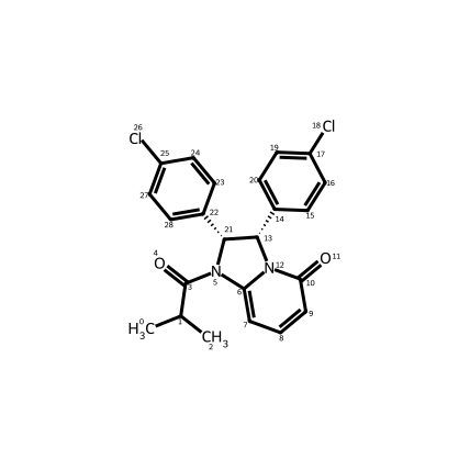 CC(C)C(=O)N1c2cccc(=O)n2[C@@H](c2ccc(Cl)cc2)[C@H]1c1ccc(Cl)cc1